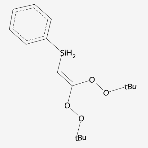 CC(C)(C)OOC(=C[SiH2]c1ccccc1)OOC(C)(C)C